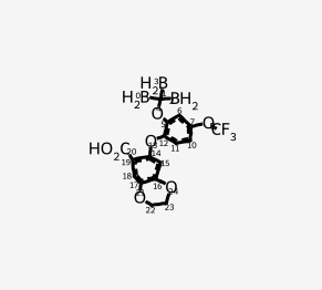 BC(B)(B)Oc1cc(OC(F)(F)F)ccc1Oc1cc2c(cc1C(=O)O)OCCO2